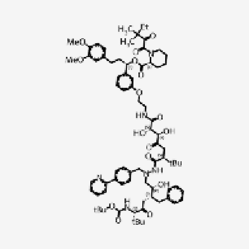 CCC(C)(C)C(=O)C(=O)N1CCCC[C@H]1C(=O)O[C@H](CCc1ccc(OC)c(OC)c1)c1cccc(OCCNC(=O)[C@@H](O)[C@@H](O)C(=O)C[C@H](C(=O)NN(Cc2ccc(-c3ccccn3)cc2)C[C@H](O)[C@@H](CC(=O)[C@@H](NC(=O)OC(C)(C)C)C(C)(C)C)Cc2ccccc2)C(C)(C)C)c1